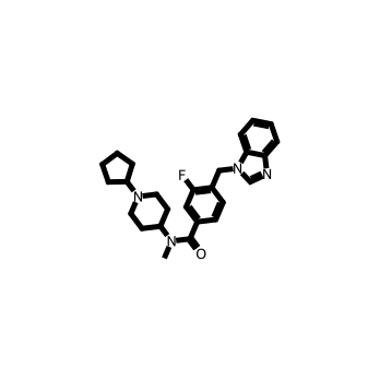 CN(C(=O)c1ccc(Cn2cnc3ccccc32)c(F)c1)C1CCN(C2CCCC2)CC1